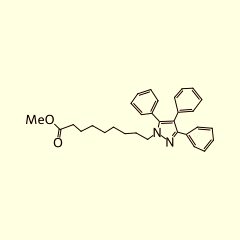 COC(=O)CCCCCCCCn1nc(-c2ccccc2)c(-c2ccccc2)c1-c1ccccc1